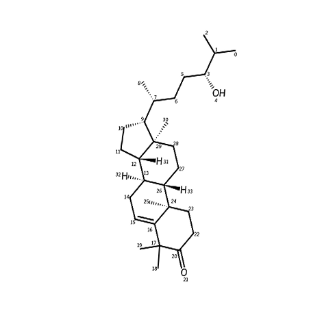 CC(C)[C@H](O)CC[C@@H](C)[C@H]1CC[C@H]2[C@@H]3CC=C4C(C)(C)C(=O)CC[C@]4(C)[C@H]3CC[C@]12C